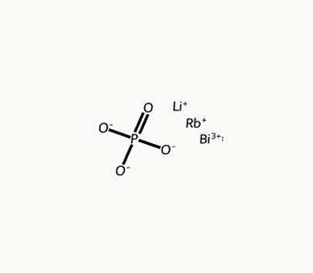 O=P([O-])([O-])[O-].[Bi+3].[Li+].[Rb+]